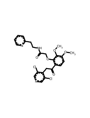 COc1ccc(C(=O)Cc2c(Cl)cncc2Cl)c(OCC(=O)NCCc2ccccn2)c1OC